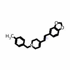 Cc1ccc(CN2CC=C(/C=C/c3ccc4c(c3)OCO4)CC2)cc1